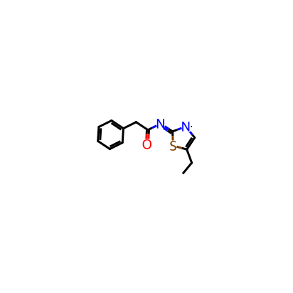 CCC1=C[N]C(=NC(=O)Cc2ccccc2)S1